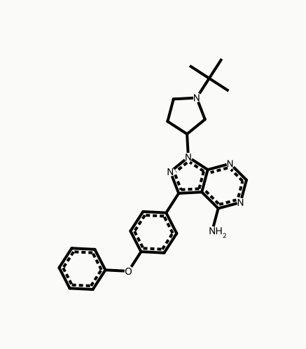 CC(C)(C)N1CCC(n2nc(-c3ccc(Oc4ccccc4)cc3)c3c(N)ncnc32)C1